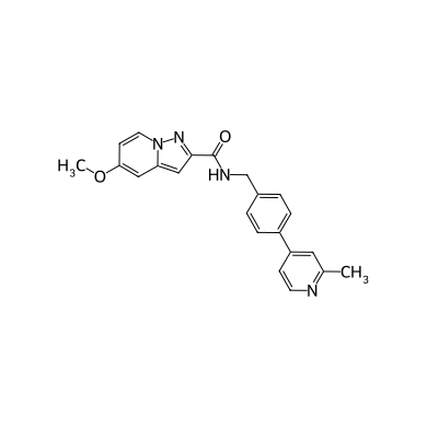 COc1ccn2nc(C(=O)NCc3ccc(-c4ccnc(C)c4)cc3)cc2c1